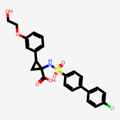 O=C(O)C1(NS(=O)(=O)c2ccc(-c3ccc(Cl)cc3)cc2)CC1c1cccc(OCCO)c1